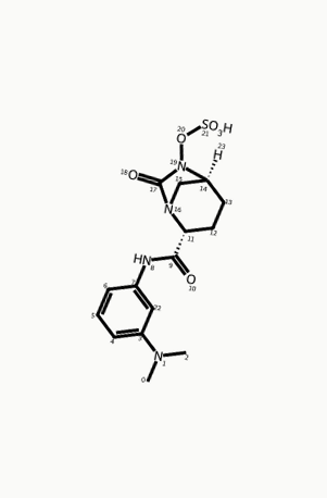 CN(C)c1cccc(NC(=O)[C@H]2CC[C@H]3CN2C(=O)N3OS(=O)(=O)O)c1